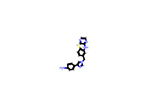 Nc1ccc(-c2cn(Cc3ccc4c(c3)Nc3nccnc3S4)cn2)cc1